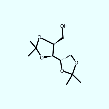 CC1(C)OC[C@@H]([C@H]2OC(C)(C)O[C@H]2CO)O1